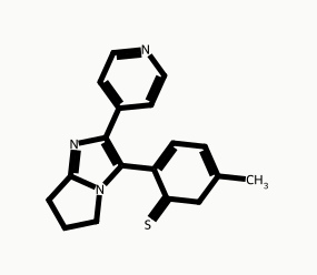 CC1=CC=C(c2c(-c3ccncc3)nc3n2CCC3)C(=S)C1